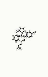 CCCCO[C@H](c1ccc(Cl)cc1)[C@H](c1ccccc1)N1CCCC1=O